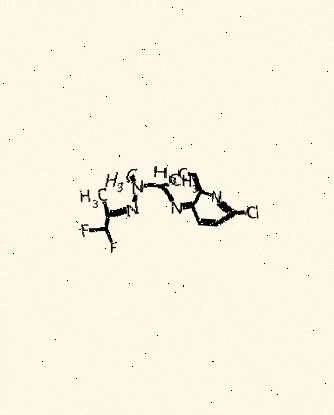 C/C=C1/N=C(Cl)C=C/C1=N/C(C)N(C)/N=C(\C)C(F)F